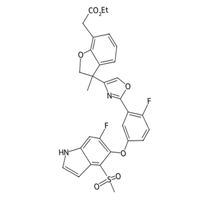 CCOC(=O)Cc1cccc2c1OCC2(C)c1coc(-c2cc(Oc3c(F)cc4[nH]ccc4c3S(C)(=O)=O)ccc2F)n1